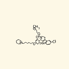 COCCOC(=O)N1CCc2c([nH]c3ccc(Cl)cc23)C1c1ccc(OCCCCCCN2CCCCC2)cc1